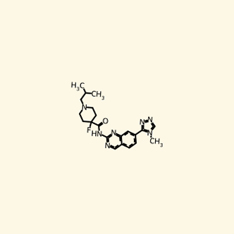 CC(C)CN1CCC(F)(C(=O)Nc2ncc3ccc(-c4nncn4C)cc3n2)CC1